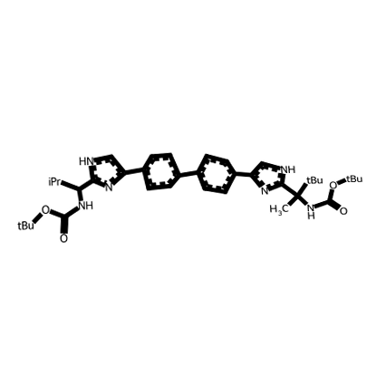 CC(C)C(NC(=O)OC(C)(C)C)c1nc(-c2ccc(-c3ccc(-c4c[nH]c(C(C)(NC(=O)OC(C)(C)C)C(C)(C)C)n4)cc3)cc2)c[nH]1